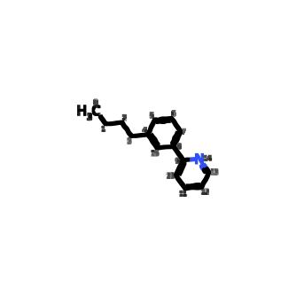 CCCCc1cccc(-c2ccccn2)c1